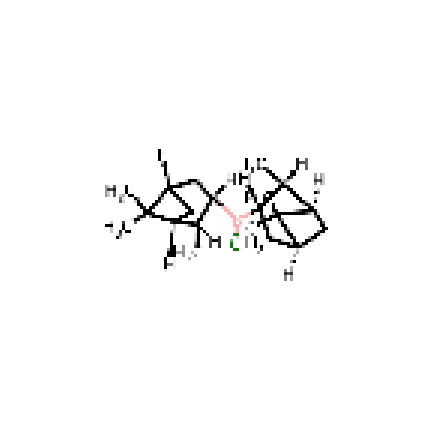 C[C@@H]1[C@@H](B(Cl)[C@H]2C[C@@H]3C[C@H]([C@H]2C)C3(C)C)C[C@@H]2C[C@H]1C2(C)C